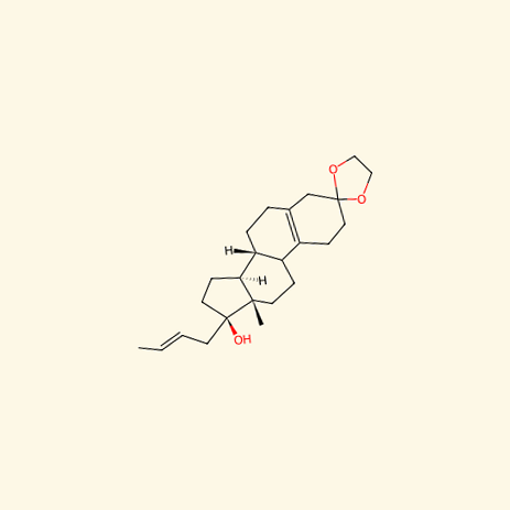 C/C=C/C[C@]1(O)CC[C@H]2[C@@H]3CCC4=C(CCC5(C4)OCCO5)C3CC[C@@]21C